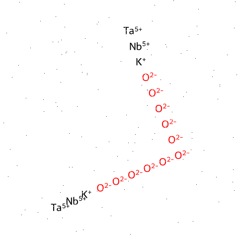 [K+].[K+].[Nb+5].[Nb+5].[O-2].[O-2].[O-2].[O-2].[O-2].[O-2].[O-2].[O-2].[O-2].[O-2].[O-2].[Ta+5].[Ta+5]